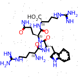 N=C(N)NCCC[C@H](NC(=O)[C@H](CCC(N)=O)NC(=O)[C@H](Cc1c[nH]c2ccccc12)NC(=O)[C@@H](N)CCCNC(=N)N)C(=O)O